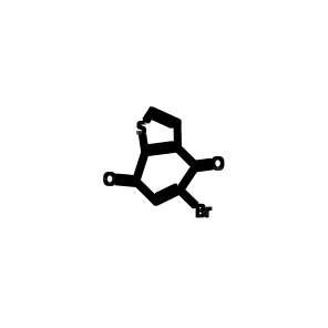 O=C1C(Br)=CC(=O)c2sccc21